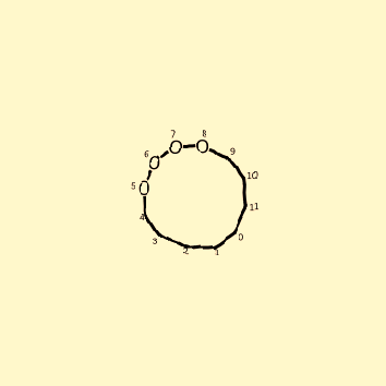 C1CCCCOOOOCCC1